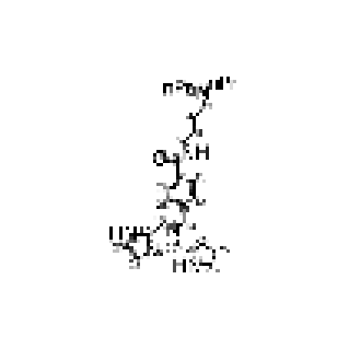 CCCN(CCC)CCCCNC(=O)c1ccc(CN(Cc2ncc[nH]2)C[C@@H]2CCCN2)cc1